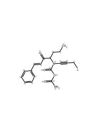 CCCC(C(=O)C=Cc1ccccc1)N(C#CCI)C(=O)OC(N)=O